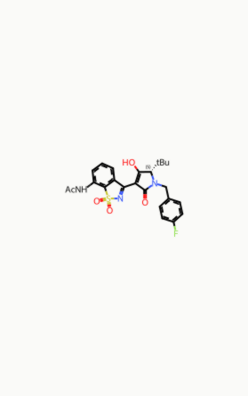 CC(=O)Nc1cccc2c1S(=O)(=O)N=C2C1=C(O)[C@H](C(C)(C)C)N(Cc2ccc(F)cc2)C1=O